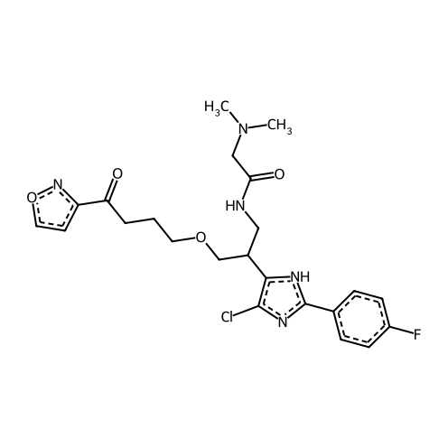 CN(C)CC(=O)NCC(COCCCC(=O)c1ccon1)c1[nH]c(-c2ccc(F)cc2)nc1Cl